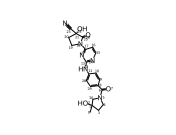 CC1(O)CCN(C(=O)c2ccc(Nc3nccc(N4CC[C@](O)(C#N)C4=O)n3)cc2)C1